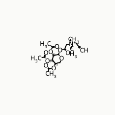 C#CC[N+](C)(C)CC(=O)OC1OC[C@@H](OC(C)=O)[C@H](OC(C)=O)[C@H]1OC(C)=O